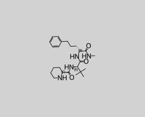 CNC(=O)[C@@H](CCCc1ccccc1)NC(=O)[C@H](NC(=O)[C@@H]1CCCCN1)C(C)(C)C